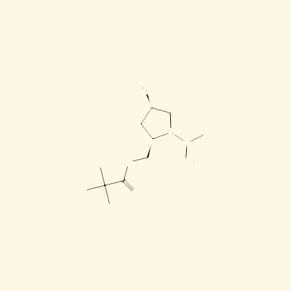 CB(O)N1C[C@H](N)C[C@@H]1COC(=O)C(C)(C)C